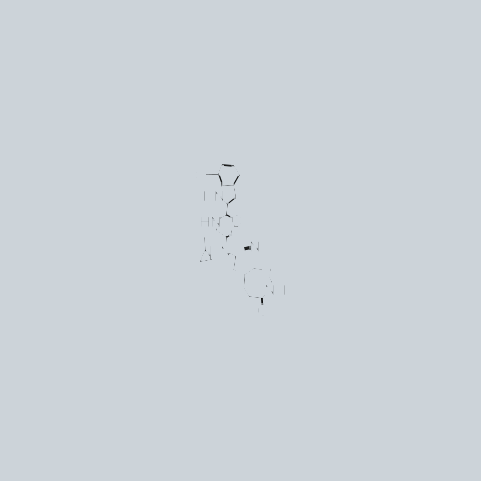 N#C[C@H](C[C@@H]1CCC(=O)NCOC1)NC(=O)[C@H](CC1CC1)NC(=O)c1cc2cccc(Cl)c2[nH]1